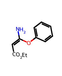 CCOC(=O)/C=C(/N)Oc1ccccc1